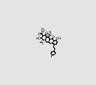 Cc1ccc(CCc2ccc(O)c3c2CC2CC4[C@H](N(C)C)C(O)C(C(N)=O)C(=O)[C@@]4(O)C(O)=C2C3=O)cc1